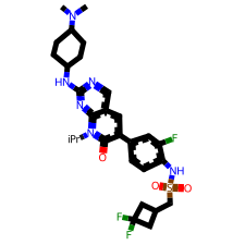 CC(C)n1c(=O)c(-c2ccc(NS(=O)(=O)CC3CC(F)(F)C3)c(F)c2)cc2cnc(NC3CCC(N(C)C)CC3)nc21